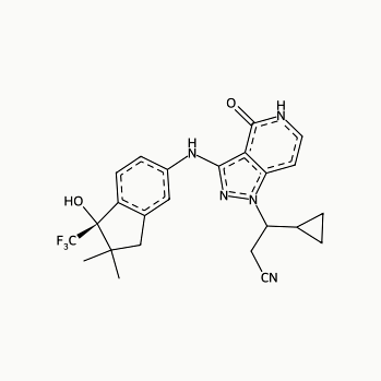 CC1(C)Cc2cc(Nc3nn(C(CC#N)C4CC4)c4cc[nH]c(=O)c34)ccc2[C@]1(O)C(F)(F)F